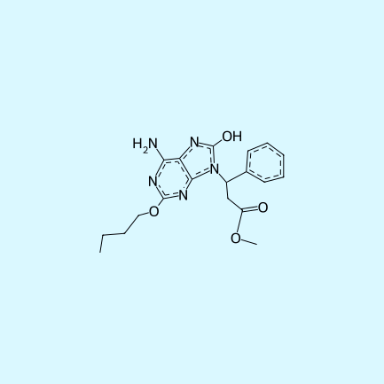 CCCCOc1nc(N)c2nc(O)n(C(CC(=O)OC)c3ccccc3)c2n1